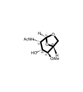 CO[C@H]1[C@H](O)[C@H](NC(C)=O)[C@H]2OC[C@H]1O2